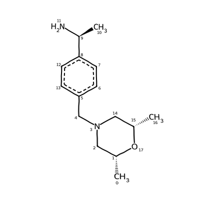 C[C@@H]1CN(Cc2ccc([C@H](C)N)cc2)C[C@H](C)O1